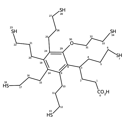 O=C(O)CCC(CCCS)c1c(CCCS)c(CCCS)c(CCCS)c(CCCS)c1OCCCS